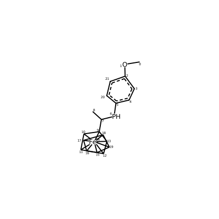 COc1ccc(PC(C)[C]23[CH]4[CH]5[CH]6[CH]2[Fe]56432789[CH]3[CH]2[CH]7[CH]8[CH]39)cc1